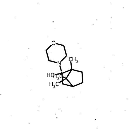 CC1(C)C2CCC1(C)C(O)(N1CCOCC1)C2